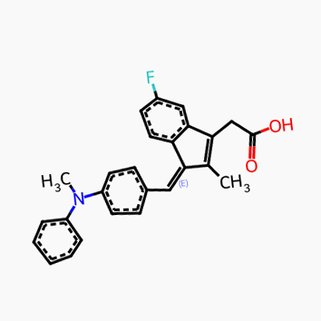 CC1=C(CC(=O)O)c2cc(F)ccc2/C1=C\c1ccc(N(C)c2ccccc2)cc1